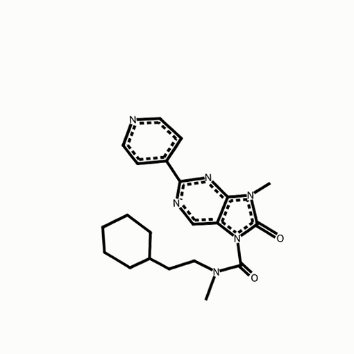 CN(CCC1CCCCC1)C(=O)n1c(=O)n(C)c2nc(-c3ccncc3)ncc21